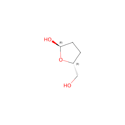 OC[C@H]1CC[C@H](O)O1